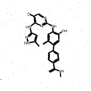 C=C(NC)c1ccc(-c2cc(O)c(Nc3ncc(Cl)c(Nc4cc(C)[nH]n4)n3)cc2C)cc1